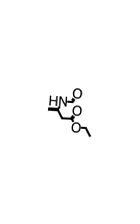 C=C(CC(=O)OCC)NC=O